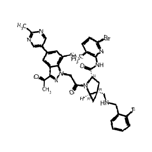 CC(=O)c1nn(CC(=O)N2[C@H](C(=O)Nc3nc(Br)ccc3C)C[C@@]3(CNCc4ccccc4F)C[C@@H]23)c2c(C)cc(-c3cnc(C)nc3)cc12